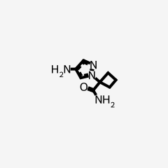 NC(=O)C1(n2cc(N)cn2)CCC1